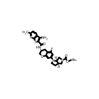 Cc1ccc2c(N)c(C(=O)N[C@H]3COc4cc(N5CC[C@@H]6CN(C(=O)OC(C)(C)C)C[C@@H]65)cc(F)c4C3)sc2n1